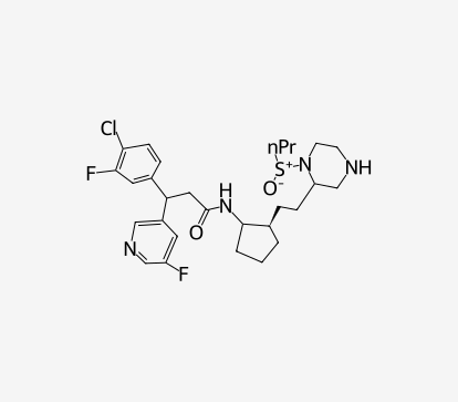 CCC[S+]([O-])N1CCNCC1CC[C@H]1CCCC1NC(=O)CC(c1cncc(F)c1)c1ccc(Cl)c(F)c1